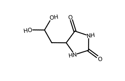 O=C1NC(=O)C(CC(O)O)N1